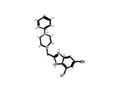 Brc1cc(Br)c2[nH]c(CN3CCN(c4ccccn4)CC3)nc2c1